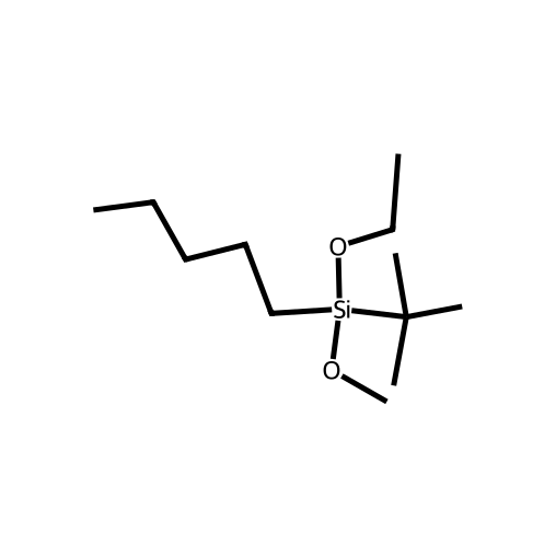 CCCCC[Si](OC)(OCC)C(C)(C)C